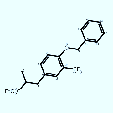 CCOC(=O)C(C)Cc1ccc(OCc2ccccc2)c(C(F)(F)F)c1